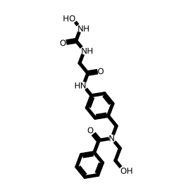 O=C(CNC(=O)NO)Nc1ccc(CN(CCO)C(=O)c2ccccc2)cc1